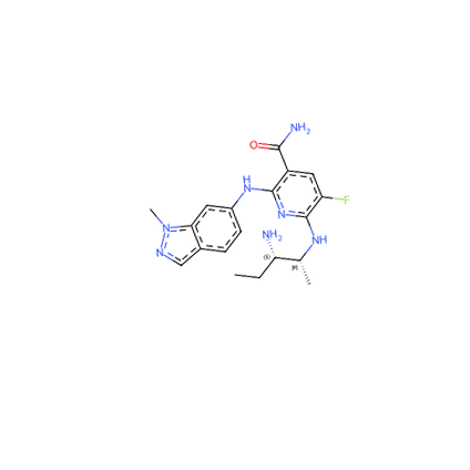 CC[C@H](N)[C@@H](C)Nc1nc(Nc2ccc3cnn(C)c3c2)c(C(N)=O)cc1F